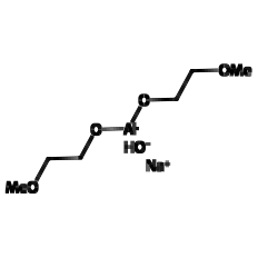 COCC[O][Al][O]CCOC.[Na+].[OH-]